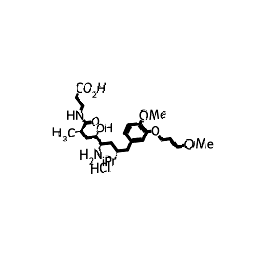 COCCCOc1cc(C[C@@H](C[C@H](N)[C@@H](O)C[C@@H](C)C(=O)NCCC(=O)O)C(C)C)ccc1OC.Cl